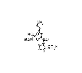 CCCCCCCCP(=O)(O)OC(CCCCN)C(=O)N1CCC[C@H]1C(=O)O